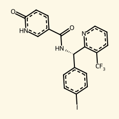 O=C(N[C@@H](c1ccc(I)cc1)c1ncccc1C(F)(F)F)c1ccc(=O)[nH]c1